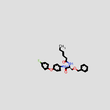 CCC=CCC(=O)N[C@@H](COCc1ccccc1)C(=O)Nc1ccc(Oc2ccc(F)cc2)cc1